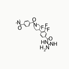 CN(C)C(=O)c1ccc(C(=O)N2CCC(c3ccc(C(=O)NC(=N)N)cc3C(F)(F)F)CC2)cc1